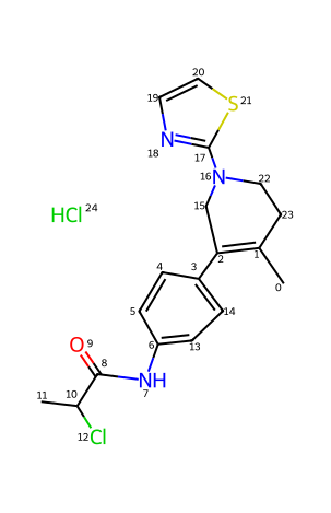 CC1=C(c2ccc(NC(=O)C(C)Cl)cc2)CN(c2nccs2)CC1.Cl